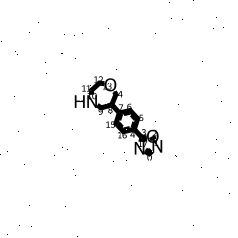 c1noc(-c2ccc(C3CNCCOC3)cc2)n1